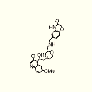 COc1ccc2ncc(Cl)c(C(O)CN3CCOC(CNCc4ccc5c(c4)NC(=O)CO5)C3)c2c1